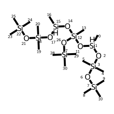 C[SiH](O[Si](C)(C)O[Si](C)(C)C)O[Si](C)(O[SiH](C)O[Si](C)(C)O[Si](C)(C)C)O[Si](C)(C)C